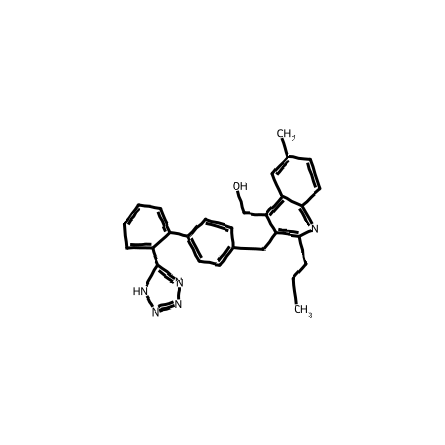 CCCc1nc2ccc(C)cc2c(CO)c1Cc1ccc(-c2ccccc2-c2nnn[nH]2)cc1